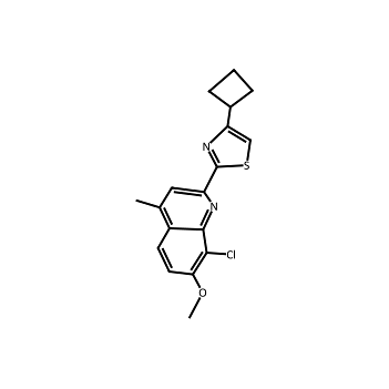 COc1ccc2c(C)cc(-c3nc(C4CCC4)cs3)nc2c1Cl